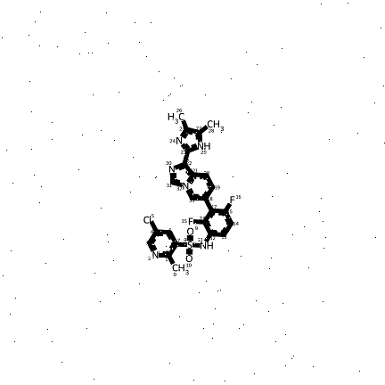 Cc1ncc(Cl)cc1S(=O)(=O)Nc1ccc(F)c(-c2ccc3c(-c4nc(C)c(C)[nH]4)ncn3c2)c1F